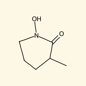 CC1CCCN(O)C1=O